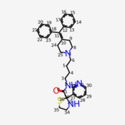 O=C(NCCCCN1CCC(=C(c2ccccc2)c2ccccc2)CC1)C1(c2cccnc2)NCCS1